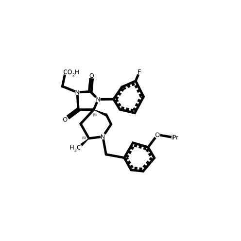 CC(C)Oc1cccc(CN2CC[C@@]3(C[C@@H]2C)C(=O)N(CC(=O)O)C(=O)N3c2cccc(F)c2)c1